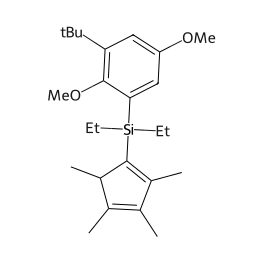 CC[Si](CC)(C1=C(C)C(C)=C(C)C1C)c1cc(OC)cc(C(C)(C)C)c1OC